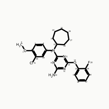 COc1ccc(N(c2nc(N)nc(Oc3ccccc3F)n2)C2CCCCCC2)cc1Cl